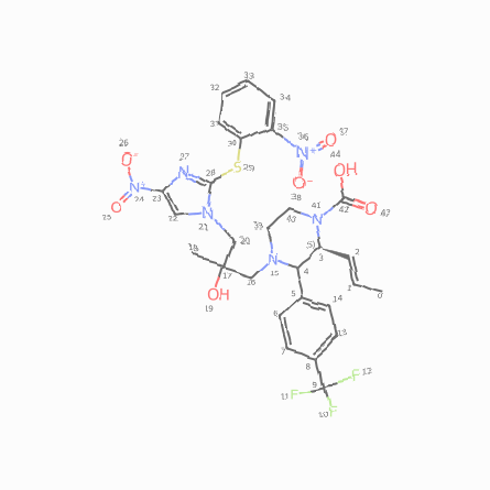 CC=C[C@H]1C(c2ccc(C(F)(F)F)cc2)N(CC(C)(O)Cn2cc([N+](=O)[O-])nc2Sc2ccccc2[N+](=O)[O-])CCN1C(=O)O